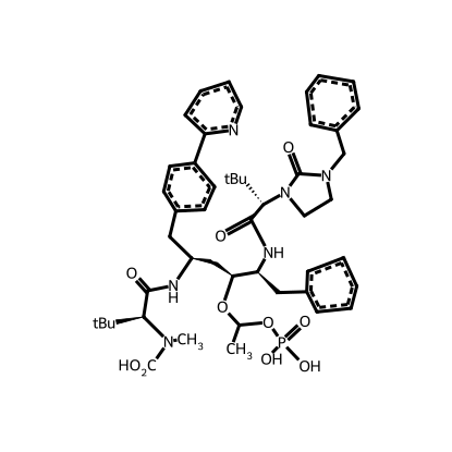 CC(O[C@@H](C[C@H](Cc1ccc(-c2ccccn2)cc1)NC(=O)[C@@H](N(C)C(=O)O)C(C)(C)C)[C@H](Cc1ccccc1)NC(=O)[C@@H](N1CCN(Cc2ccccc2)C1=O)C(C)(C)C)OP(=O)(O)O